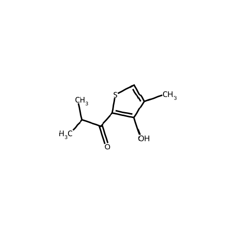 Cc1csc(C(=O)C(C)C)c1O